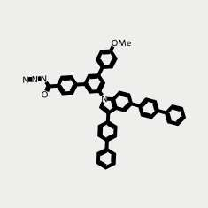 COc1ccc(-c2cc(-c3ccc(C(=O)N=[N+]=[N-])cc3)cc(-n3cc(-c4ccc(-c5ccccc5)cc4)c4cc(-c5ccc(-c6ccccc6)cc5)ccc43)c2)cc1